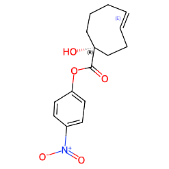 O=C(Oc1ccc([N+](=O)[O-])cc1)[C@]1(O)CC/C=C/CCC1